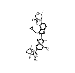 COc1cc(C(=O)N2[C@H]3CC[C@@H]2[C@H](N)C3)cc2nc(-c3cc4ccc(N5C[C@@H](C)OCS5(=O)=O)nc4n3CC3CC3)c(C)n12